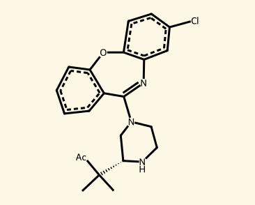 CC(=O)C(C)(C)[C@@H]1CN(C2=Nc3cc(Cl)ccc3Oc3ccccc32)CCN1